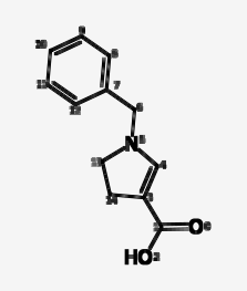 O=C(O)C1=CN(Cc2ccccc2)CC1